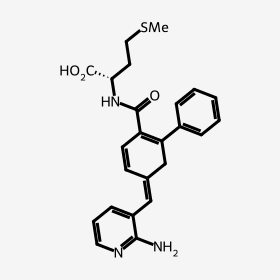 CSCC[C@H](NC(=O)C1=C(c2ccccc2)CC(=Cc2cccnc2N)C=C1)C(=O)O